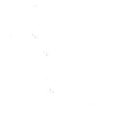 CC[C@@H](CC(=O)O)n1c(=O)c2ccccc2n(Cc2snc3cc(C)cc(C)c23)c1=O